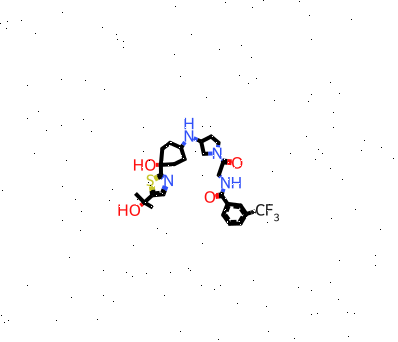 CC(C)(O)c1cnc(C2(O)CCC(NC3CCN(C(=O)CNC(=O)c4cccc(C(F)(F)F)c4)C3)CC2)s1